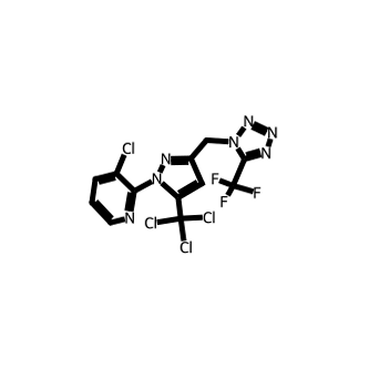 FC(F)(F)c1nnnn1Cc1cc(C(Cl)(Cl)Cl)n(-c2ncccc2Cl)n1